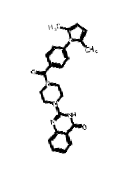 Cc1ccc(C)n1-c1ccc(C(=O)N2CCN(c3nc4ccccc4c(=O)[nH]3)CC2)cc1